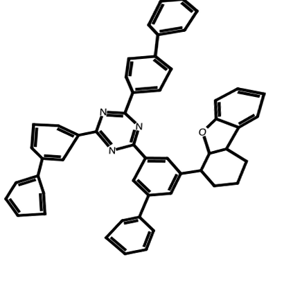 c1ccc(-c2ccc(-c3nc(-c4cccc(-c5ccccc5)c4)nc(-c4cc(-c5ccccc5)cc(C5CCCC6c7ccccc7OC56)c4)n3)cc2)cc1